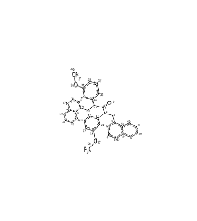 O=C(C(Cc1ccnc2ccccc12)c1cccc(OC(F)(F)F)c1)C(Cc1ccnc2ccccc12)c1cccc(OC(F)(F)F)c1